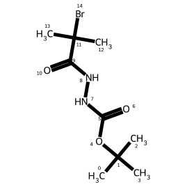 CC(C)(C)OC(=O)NNC(=O)C(C)(C)Br